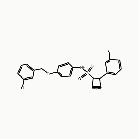 O=S(=O)(Nc1ccc(OCc2cccc(Cl)c2)cc1)C1C#CC1c1cccc(Cl)c1